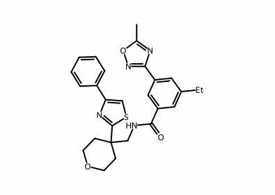 CCc1cc(C(=O)NCC2(c3nc(-c4ccccc4)cs3)CCOCC2)cc(-c2noc(C)n2)c1